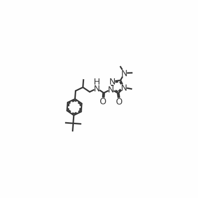 CC(CNC(=O)n1nc(N(C)C)n(C)c1=O)Cc1ccc(C(C)(C)C)cc1